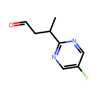 CC(CC=O)c1ncc(F)cn1